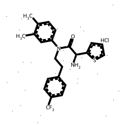 Cc1ccc(N(CCc2ccc(C(F)(F)F)cc2)C(=O)C(N)c2cccs2)cc1C.Cl